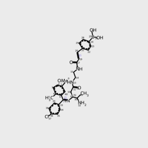 COc1ccc(C)c(/C(=N\[C@@H](CC(=O)NCCNC(=O)/C=C/c2ccc(B(O)O)cc2)C(C)N)c2ccc(Cl)cc2)c1